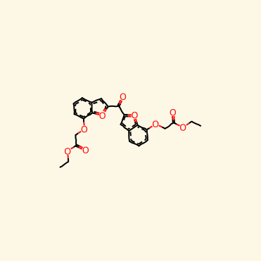 CCOC(=O)COc1cccc2cc(C(=O)c3cc4cccc(OCC(=O)OCC)c4o3)oc12